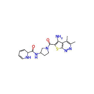 Cc1nnc2sc(C(=O)N3CCC(NC(=O)C4C=CC=CN4)C3)c(N)c2c1C